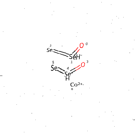 O=[SeH-]=[Se].O=[SeH-]=[Se].[Co+2]